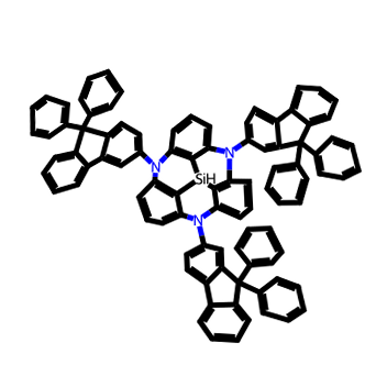 c1ccc(C2(c3ccccc3)c3ccccc3-c3cc(N4c5cccc6c5[SiH]5c7c4cccc7N(c4ccc7c(c4)C(c4ccccc4)(c4ccccc4)c4ccccc4-7)c4cccc(c45)N6c4ccc5c(c4)C(c4ccccc4)(c4ccccc4)c4ccccc4-5)ccc32)cc1